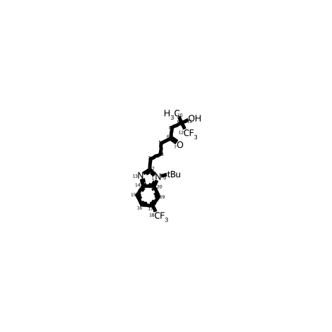 CC(C)(C)n1c(CCCC(=O)CC(C)(O)C(F)(F)F)nc2ccc(C(F)(F)F)cc21